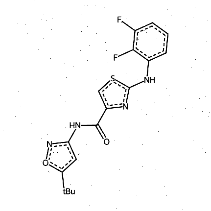 CC(C)(C)c1cc(NC(=O)c2csc(Nc3cccc(F)c3F)n2)no1